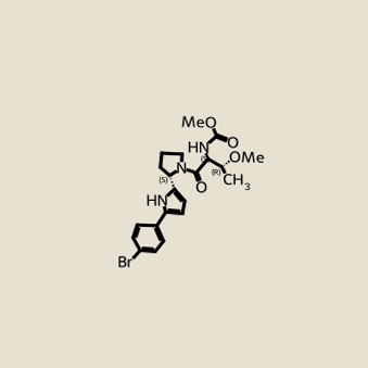 COC(=O)N[C@H](C(=O)N1CCC[C@H]1c1ccc(-c2ccc(Br)cc2)[nH]1)[C@@H](C)OC